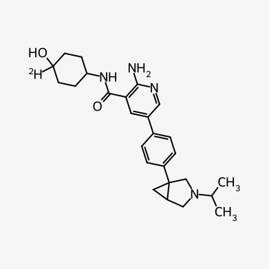 [2H]C1(O)CCC(NC(=O)c2cc(-c3ccc(C45CC4CN(C(C)C)C5)cc3)cnc2N)CC1